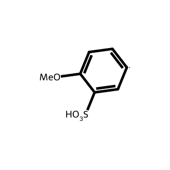 COc1cc[c]cc1S(=O)(=O)O